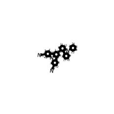 N#Cc1ccc2c3cc(-c4cccc5c4c4ccccc4n5-c4ccccc4)cc4c5ccc(C#N)cc5n(c2c1)c34